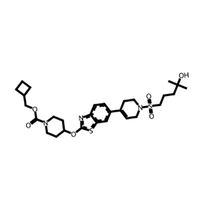 CC(C)(O)CCCS(=O)(=O)N1CC=C(c2ccc3nc(OC4CCN(C(=O)OCC5CCC5)CC4)sc3c2)CC1